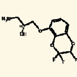 NC[C@@H](O)COc1cccc2c1OC(F)(F)C(F)O2